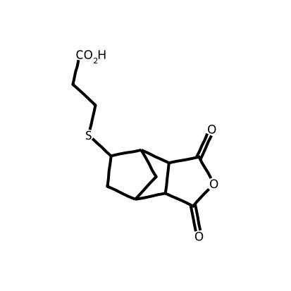 O=C(O)CCSC1CC2CC1C1C(=O)OC(=O)C21